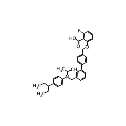 CCC(CC)c1ccc(N(Cc2cccc(-c3ccc(COc4cccc(F)c4C(=O)O)cc3)c2)C(C)C)cc1